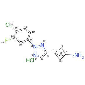 Cl.NC12CC(c3cnn(-c4ccc(Cl)c(F)c4)n3)(C1)C2